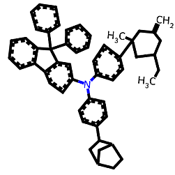 C=C1CC(CC)CC(C)(c2ccc(N(c3ccc(C4CC5CCC4C5)cc3)c3ccc4c(c3)C(c3ccccc3)(c3ccccc3)c3ccccc3-4)cc2)C1